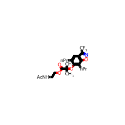 CCCc1cc2c(C(F)(F)F)noc2c(CCC)c1OC(C)(C)C(=O)OCCNC(C)=O